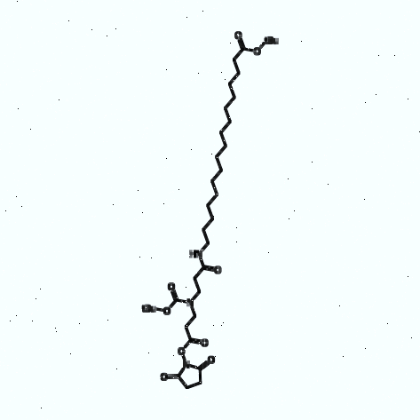 CC(C)(C)OC(=O)CCCCCCCCCCCCCCCCNC(=O)CCN(CCC(=O)ON1C(=O)CCC1=O)C(=O)OC(C)(C)C